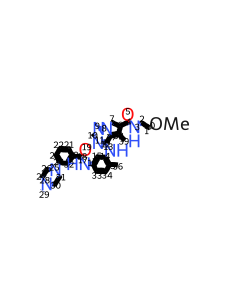 COCCNC(=O)C1CN2N=CN=C(Nc3cc(NC(=O)c4cccc(N5CCN(C)CC5)c4)ccc3C)C2=C1C